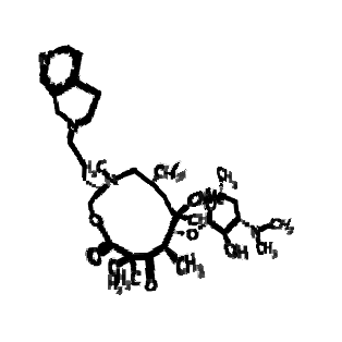 CO[C@]1(C)C[C@@H](C)CN(C)[C@@H](CCCN2CCc3ccncc3C2)COC(=O)C(C)(C)C(=O)[C@H](C)[C@H]1O[C@@H]1O[C@H](C)C[C@H](N(C)C)[C@H]1O